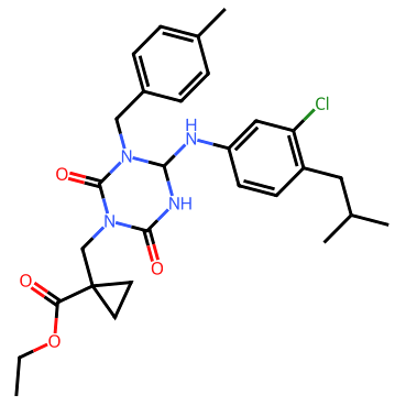 CCOC(=O)C1(CN2C(=O)NC(Nc3ccc(CC(C)C)c(Cl)c3)N(Cc3ccc(C)cc3)C2=O)CC1